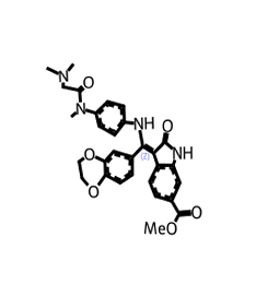 COC(=O)c1ccc2c(c1)NC(=O)/C2=C(\Nc1ccc(N(C)C(=O)CN(C)C)cc1)c1ccc2c(c1)OCCO2